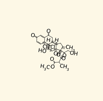 COC(=O)C(C)C(=O)O[C@]1(C(=O)CO)[C@@H](C)C[C@H]2[C@@H]3CC(=O)C4=CC(=O)C=C[C@]4(C)[C@@]3(Cl)[C@@H](O)C[C@@]21C